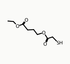 CCOC(=O)CCCOC(=O)CS